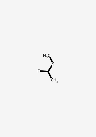 CSC(C)F